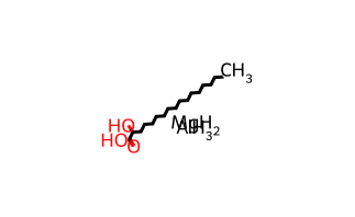 CCCCCCCCCCCCCCCCC(O)C(=O)O.[AlH3].[MgH2]